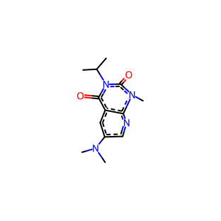 CC(C)n1c(=O)c2cc(N(C)C)cnc2n(C)c1=O